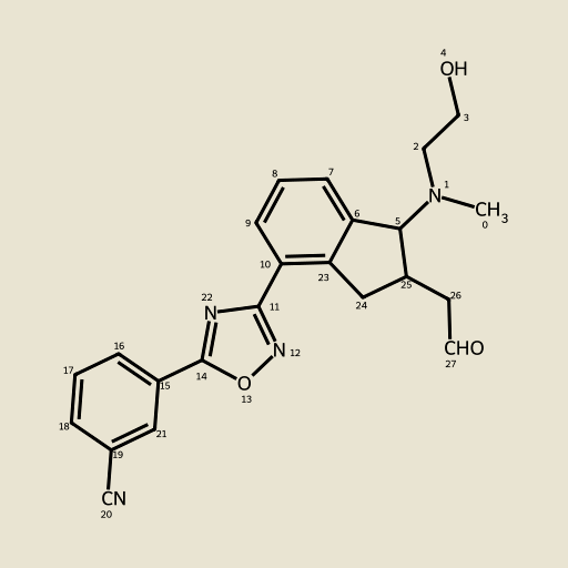 CN(CCO)C1c2cccc(-c3noc(-c4cccc(C#N)c4)n3)c2CC1CC=O